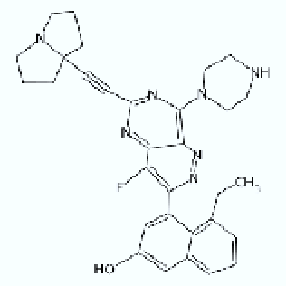 CCc1cccc2cc(O)cc(-c3nnc4c(N5CCNCC5)nc(C#CC56CCCN5CCC6)nc4c3F)c12